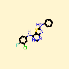 Fc1ccc(Nc2ncnc3nc(Nc4ccccc4)sc23)cc1Cl